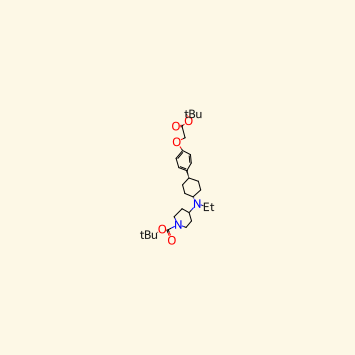 CCN(C1CCN(C(=O)OC(C)(C)C)CC1)[C@H]1CC[C@H](c2ccc(OCC(=O)OC(C)(C)C)cc2)CC1